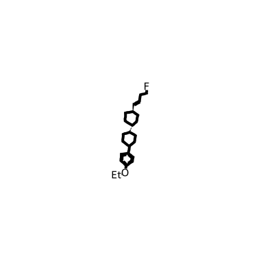 CCOc1ccc(C2CCC([C@H]3CC[C@H](/C=C/CCF)CC3)CC2)cc1